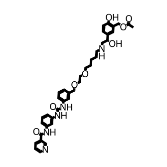 CC(=O)OCc1cc([C@@H](O)CNCCCCCOCCOCc2cccc(NC(=O)Nc3cccc(NC(=O)c4cccnc4)c3)c2)ccc1O